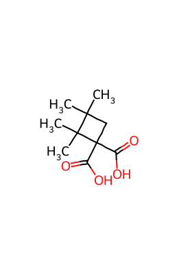 CC1(C)CC(C(=O)O)(C(=O)O)C1(C)C